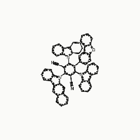 N#Cc1c(-n2c3c(c4ccccc42)C=CCC3)c(-c2ccc3oc4ccccc4c3c2)c(-n2c3ccccc3c3ccccc32)c(C#N)c1-n1c2ccccc2c2cc3ccccc3cc21